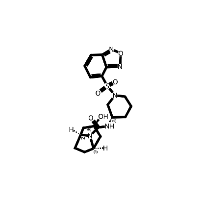 O=C(N[C@H]1CCCN(S(=O)(=O)c2cccc3nonc23)C1)N1[C@@H]2CC[C@H]1C[C@@H](O)C2